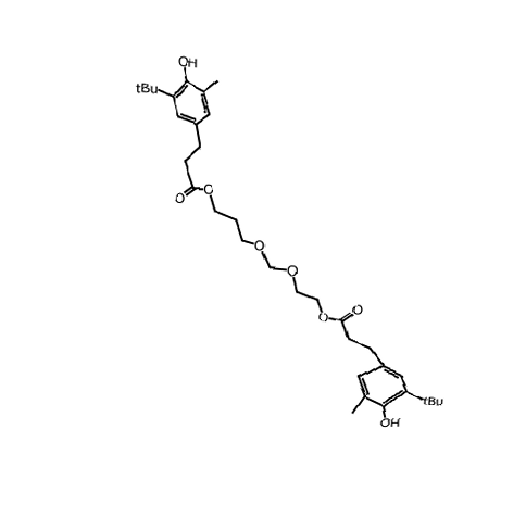 Cc1cc(CCC(=O)OCCCOCOCCOC(=O)CCc2cc(C)c(O)c(C(C)(C)C)c2)cc(C(C)(C)C)c1O